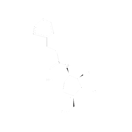 CC(=O)OC[C@H]1O[C@H](O)[C@@H](NC(=O)OCc2ccccc2)[C@@H](OC(C)=O)[C@@H]1OC(C)=O